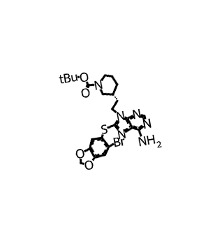 CC(C)(C)OC(=O)N1CCC[C@H](CCn2c(Sc3cc4c(cc3Br)OCO4)nc3c(N)ncnc32)C1